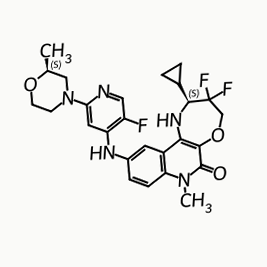 C[C@H]1CN(c2cc(Nc3ccc4c(c3)c3c(c(=O)n4C)OCC(F)(F)[C@H](C4CC4)N3)c(F)cn2)CCO1